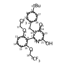 CC(C)(C)c1ccc(Cn2c(-c3c(OCC(F)(F)F)cccc3OCC(F)(F)F)nc(O)cc2=O)cc1